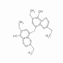 CCc1ccc2c(O)c(CC)cc(Cc3cc(CC)c(O)c4ccc(CC)cc34)c2c1